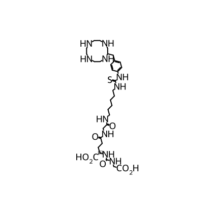 O=C(O)CNC(=O)N[C@@H](CCC(=O)NCC(=O)NCCCCCCNC(=S)Nc1ccc(CC2CNCCNCCNCCN2)cc1)C(=O)O